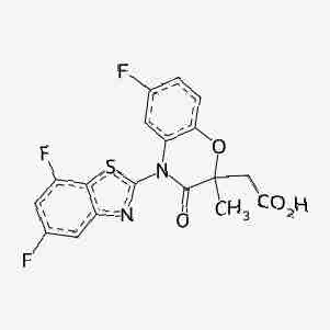 CC1(CC(=O)O)Oc2ccc(F)cc2N(c2nc3cc(F)cc(F)c3s2)C1=O